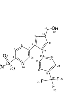 NS(=O)(=O)c1ccc(C2=CC(CO)C=C2c2ccc(C(F)(F)F)cc2)cn1